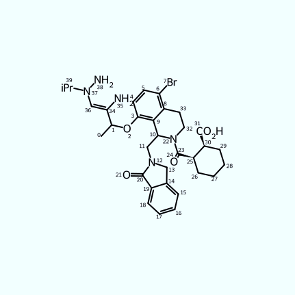 CC(Oc1ccc(Br)c2c1C(CN1Cc3ccccc3C1=O)N(C(=O)[C@@H]1CCCC[C@@H]1C(=O)O)CC2)/C(N)=C/N(N)C(C)C